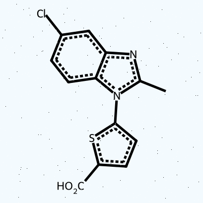 Cc1nc2cc(Cl)ccc2n1-c1ccc(C(=O)O)s1